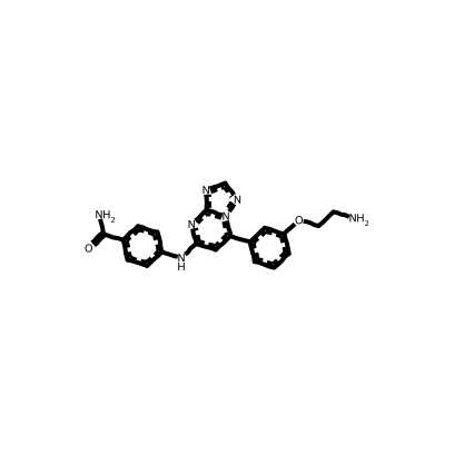 NCCOc1cccc(-c2cc(Nc3ccc(C(N)=O)cc3)nc3ncnn23)c1